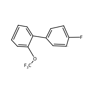 Fc1[c]cc(-c2ccccc2OC(F)(F)F)cc1